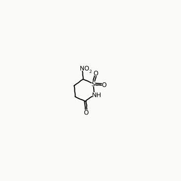 O=C1CCC([N+](=O)[O-])S(=O)(=O)N1